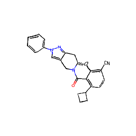 COc1c(C#N)ccc(C2CCC2)c1C(=O)N1CCc2nn(-c3ccccc3)cc2C1